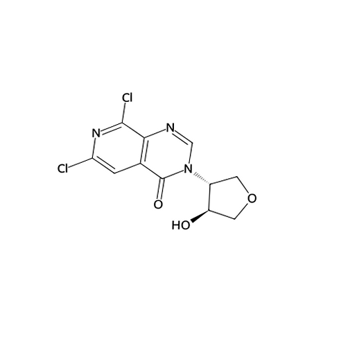 O=c1c2cc(Cl)nc(Cl)c2ncn1[C@@H]1COC[C@H]1O